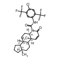 C[C@@]12CCC[C@H]1[C@@H]1CC[C@H]3N(C(=O)Nc4cc(C(F)(F)F)c(Cl)cc4C(F)(F)F)C(=O)C=C[C@]3(C)[C@H]1CC2